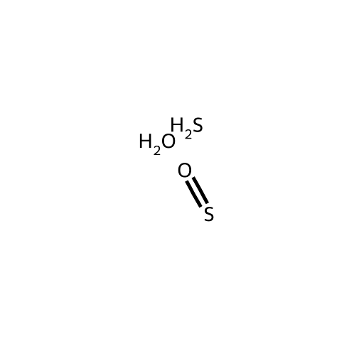 O.O=S.S